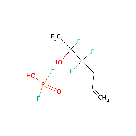 C=CCC(F)(F)C(O)(F)C(F)(F)F.O=P(O)(F)F